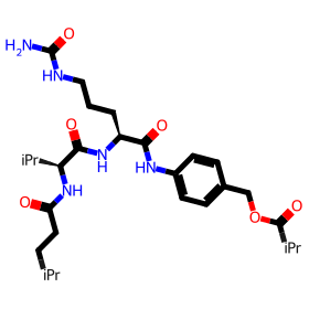 CC(C)CCC(=O)N[C@H](C(=O)N[C@@H](CCCNC(N)=O)C(=O)Nc1ccc(COC(=O)C(C)C)cc1)C(C)C